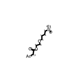 CC[Si](=O)CCCCOCCOC(=O)CC(C)=O